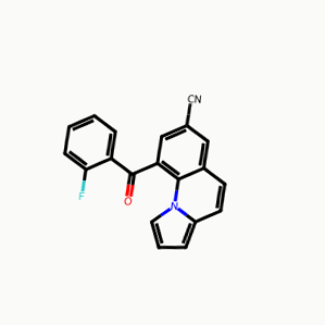 N#Cc1cc(C(=O)c2ccccc2F)c2c(ccc3cccn32)c1